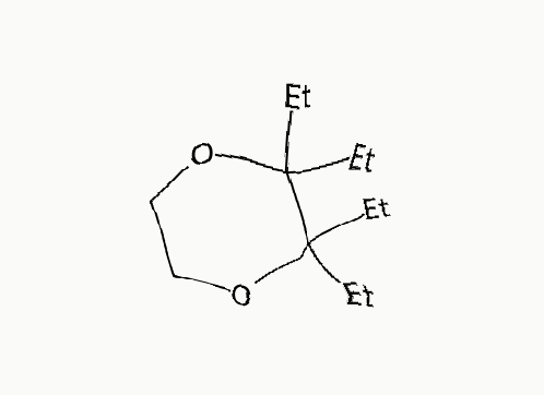 [CH2]CC1(CC)OCCOC1(CC)CC